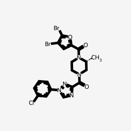 C[C@@H]1CN(C(=O)c2ncn(-c3cccc(Cl)c3)n2)CCN1C(=O)c1cc(Br)c(Br)o1